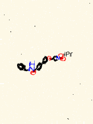 CC(C)OC(=O)N1CCC(COc2ccc(-c3ccc(C(=O)NCc4ccccc4)cc3)cc2)CC1